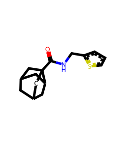 O=C(NCc1cccs1)C12CC3CC(CC1C3)C2